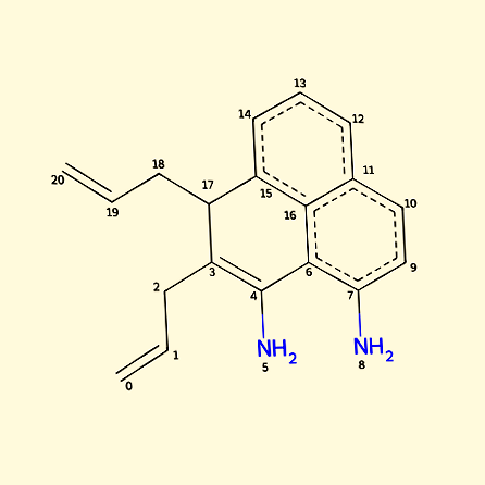 C=CCC1=C(N)c2c(N)ccc3cccc(c23)C1CC=C